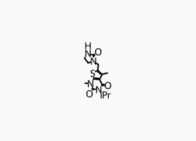 Cc1c(CN2CCNC2=O)sc2c1c(=O)n(C(C)C)c(=O)n2C